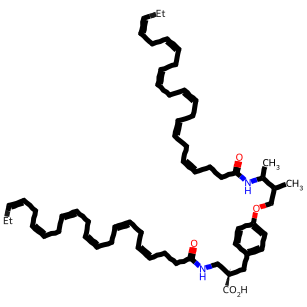 CC/C=C\C/C=C\C/C=C\C/C=C\C/C=C\C/C=C\CCC(=O)NC[C@@H](Cc1ccc(OCC(C)C(C)NC(=O)CC/C=C\C/C=C\C/C=C\C/C=C\C/C=C\C/C=C\CC)cc1)C(=O)O